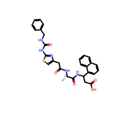 C[C@H](NC(=O)Cc1csc(NC(=O)NCc2ccccc2)n1)C(=O)NC(CC(=O)O)c1cccc2ccccc12